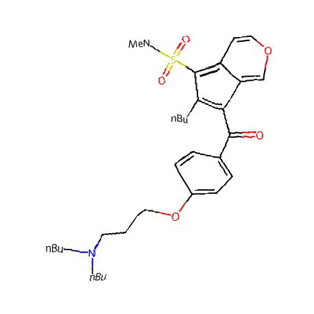 CCCCc1c(C(=O)c2ccc(OCCCN(CCCC)CCCC)cc2)c2coccc-2c1S(=O)(=O)NC